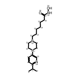 CC(C)c1ccc(N2CCN(CCCCCCC(=O)NO)CC2)cn1